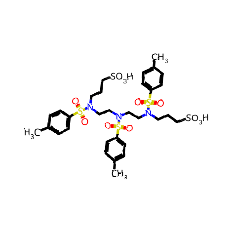 Cc1ccc(S(=O)(=O)N(CCCS(=O)(=O)O)CCN(CCN(CCCS(=O)(=O)O)S(=O)(=O)c2ccc(C)cc2)S(=O)(=O)c2ccc(C)cc2)cc1